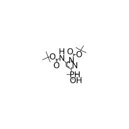 CC(C)(C)OC(=O)Nc1cc([PH](C)(C)O)nn1C(=O)OC(C)(C)C